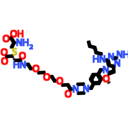 CCCCCNc1nc(N)nc2ccn(Cc3ccc(CN4CCN(C(=O)CCOCCOCCOCCNC(=O)C[C@@H](SC[C@H](N)C(=O)O)C(=O)O)CC4)cc3OC)c12